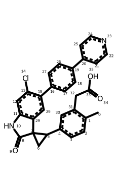 Cc1ccc(C2CC23C(=O)Nc2cc(Cl)c(-c4ccc(-c5ccncc5)cc4)cc23)cc1CC(=O)O